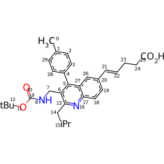 Cc1ccc(-c2c(CNC(=O)OC(C)(C)C)c(CC(C)C)nc3ccc(/C=C/CCC(=O)O)cc23)cc1